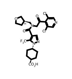 O=C(CN(C[C@H]1CCOC1)C(=O)c1cnn([C@H]2CC[C@H](C(=O)O)CC2)c1C(F)(F)F)c1c(Cl)cncc1Cl